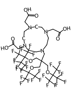 O=C(O)CN1CCN(CC(=O)O)CCN(CC(COC(C(F)(F)F)(C(F)(F)F)C(F)(F)F)(COC(C(F)(F)F)(C(F)(F)F)C(F)(F)F)COC(C(F)(F)F)(C(F)(F)F)C(F)(F)F)CCN(CC(=O)O)CC1